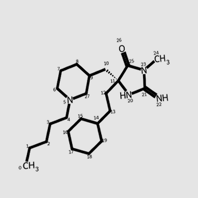 CCCCCN1CCCC(C[C@@]2(CCC3CCCCC3)NC(=N)N(C)C2=O)C1